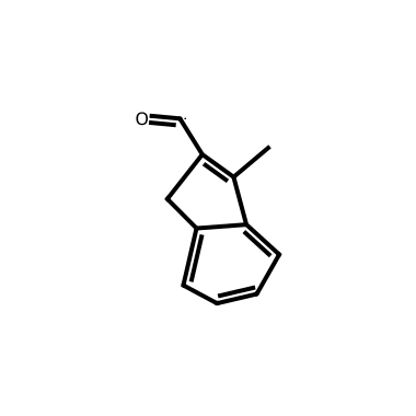 CC1=C([C]=O)Cc2ccccc21